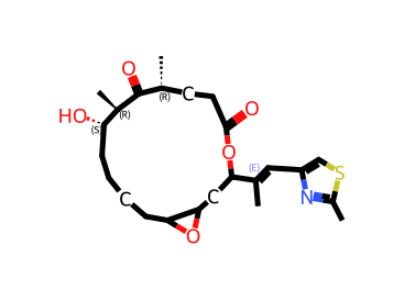 C/C(=C\c1csc(C)n1)C1CC2OC2CCCC[C@H](O)[C@@H](C)C(=O)[C@H](C)CCC(=O)O1